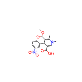 COC(=O)C1=C(C)N(C)C=C(C(=O)O)C1c1cccc([N+](=O)[O-])c1